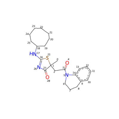 CC1(CC(=O)N2CCCc3ccccc32)SC(NC2CCCCCCC2)=NC1=O